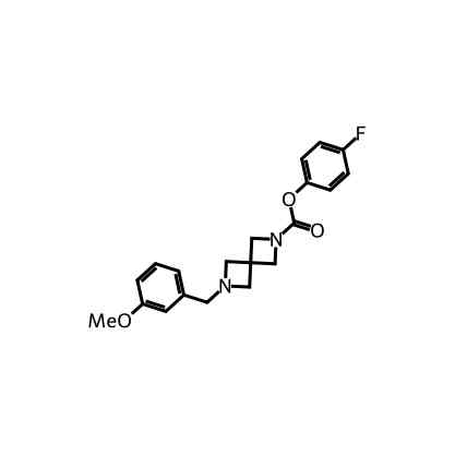 COc1cccc(CN2CC3(C2)CN(C(=O)Oc2ccc(F)cc2)C3)c1